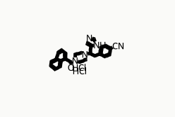 Cl.Cl.N#Cc1ccc(CC(c2cnc[nH]2)N2CCN(C(=O)c3cccc4ccccc34)CC2)cc1